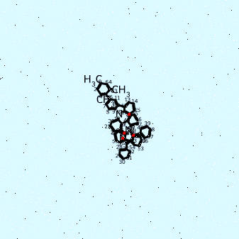 Cc1cc(C)c(-c2ccc3c(c2)c2ccccc2n3-c2cccc(-c3nc(-c4ccccc4)cc(-c4ccccc4)n3)c2-c2ccccc2-n2c3ccccc3c3ccccc32)c(C)c1